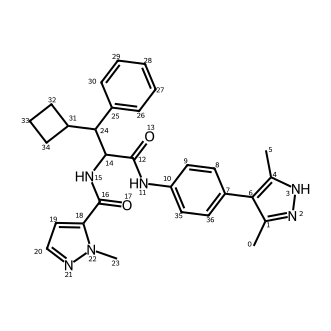 Cc1n[nH]c(C)c1-c1ccc(NC(=O)C(NC(=O)c2ccnn2C)C(c2ccccc2)C2CCC2)cc1